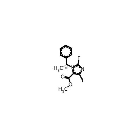 COC(=O)c1c(I)nc(F)n1[C@H](C)c1ccccc1